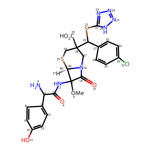 COC1(NC(=O)C(N)c2ccc(O)cc2)C(=O)N2CC(C(=O)O)(C(Sc3nnn[nH]3)c3ccc(Cl)cc3)CS[C@@H]21